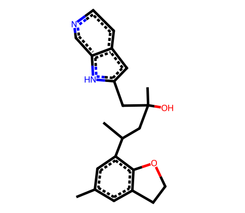 Cc1cc2c(c(C(C)CC(C)(O)Cc3cc4ccncc4[nH]3)c1)OCC2